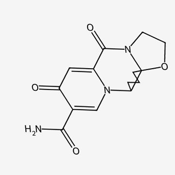 NC(=O)c1cn2c(cc1=O)C(=O)N1CCOC13CCCC23